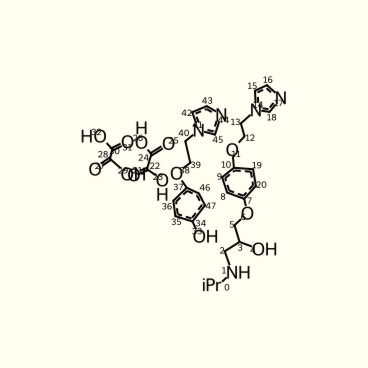 CC(C)NCC(O)COc1ccc(OCCn2ccnc2)cc1.O=C(O)C(=O)O.O=C(O)C(=O)O.Oc1ccc(OCCn2ccnc2)cc1